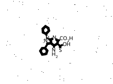 Nc1c(C(O)=S)c(C(=O)O)nc2c1c(-c1ccccc1)nn2-c1ccccc1